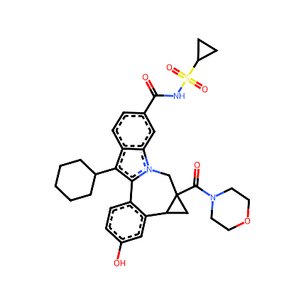 O=C(NS(=O)(=O)C1CC1)c1ccc2c(C3CCCCC3)c3n(c2c1)CC1(C(=O)N2CCOCC2)CC1c1cc(O)ccc1-3